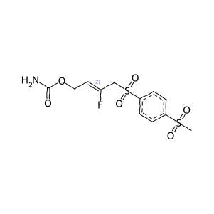 CS(=O)(=O)c1ccc(S(=O)(=O)C/C(F)=C/COC(N)=O)cc1